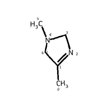 CC1=NCN(C)[C]1